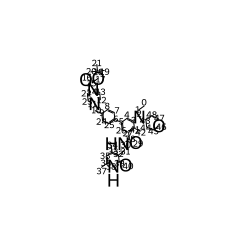 CCN(c1cc(-c2ccc(CN3CCN(C(=O)OC(C)(C)C)CC3)cc2)cc(C(=O)NCc2c(C)cc(C)[nH]c2=O)c1C)C1CCOCC1